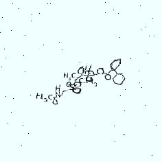 CC(=O)NCCCS(=O)(=O)OCC(C)(C)[C@@H](O)C(=O)OCOC(=O)c1ccccc1C1CCCCC1